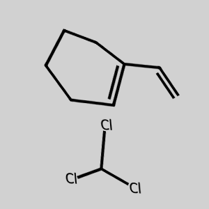 C=CC1=CCCCC1.ClC(Cl)Cl